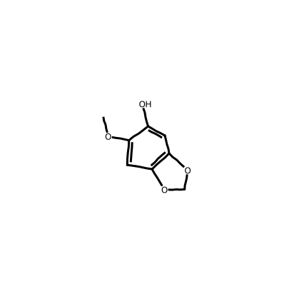 COc1cc2c(cc1O)OCO2